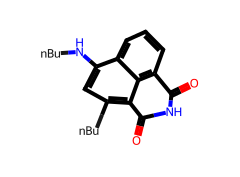 CCCCNc1cc(CCCC)c2c3c(cccc13)C(=O)NC2=O